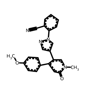 COc1ccc(-c2cc(=O)n(C)cc2-c2cnn(-c3ccccc3C#N)c2)cc1